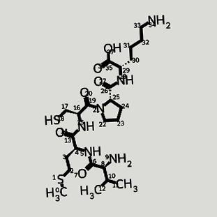 CSCC[C@H](NC(=O)[C@@H](N)C(C)C)C(=O)N[C@@H](CS)C(=O)N1CCC[C@H]1C(=O)N[C@@H](CCCCN)C(=O)O